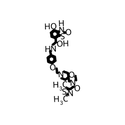 Cc1nc(C(=O)N2CCOC3(CCN(CCOc4ccc(CNC[C@H](O)c5ccc(O)c6[nH]c(=O)sc56)cc4)CC3)C2)c(C)s1